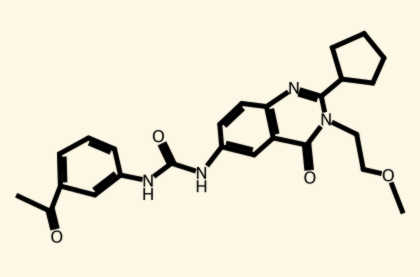 COCCn1c(C2CCCC2)nc2ccc(NC(=O)Nc3cccc(C(C)=O)c3)cc2c1=O